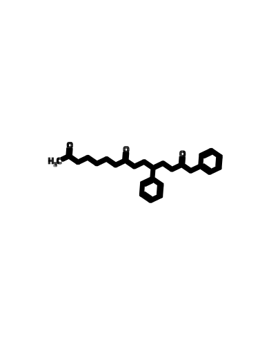 CC(=O)CCCCCC(=O)CCC(CCC(=O)Cc1ccccc1)c1ccccc1